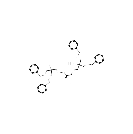 C=C(COCC(C)(COCc1ccccc1)COCc1ccccc1)COCC(C)(COCc1ccccc1)COCc1ccccc1